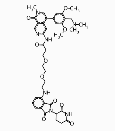 COc1cc(-c2cn(C)c(=O)c3cnc(NC(=O)CCOCCOCCNc4cccc5c4C(=O)N(C4CCC(=O)NC4=O)C5=O)cc23)cc(OC)c1CN(C)C